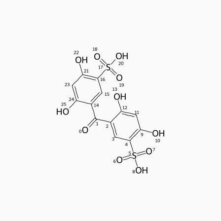 O=C(c1cc(S(=O)(=O)O)c(O)cc1O)c1cc(S(=O)(=O)O)c(O)cc1O